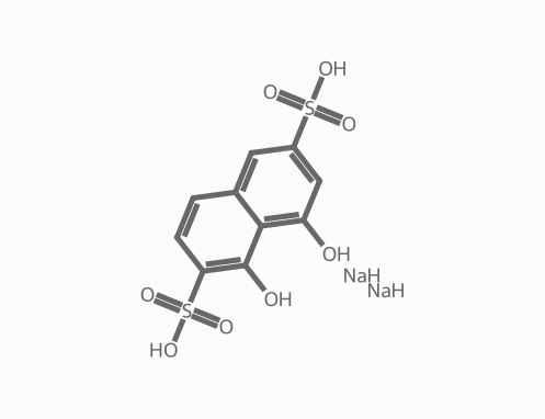 O=S(=O)(O)c1cc(O)c2c(O)c(S(=O)(=O)O)ccc2c1.[NaH].[NaH]